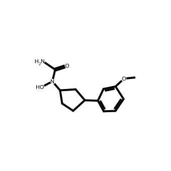 COc1cccc(C2CCC(N(O)C(N)=O)C2)c1